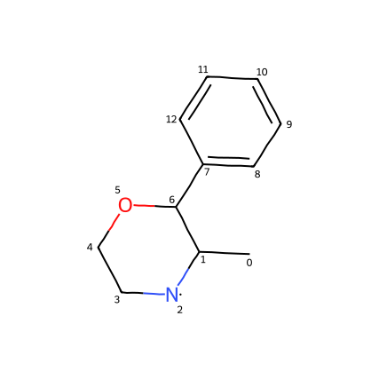 CC1[N]CCOC1c1ccccc1